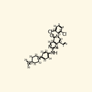 C=Cc1cn(-c2c(Cl)cccc2Cl)c(=O)c2cnc(Nc3ccc(N4CCC(N(C)C)CC4)cc3)nc12